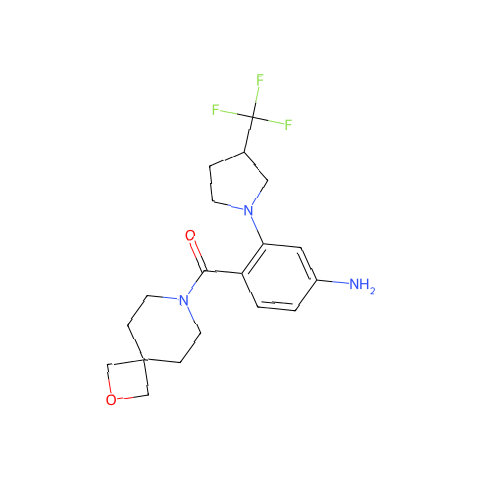 Nc1ccc(C(=O)N2CCC3(CC2)COC3)c(N2CCC(C(F)(F)F)C2)c1